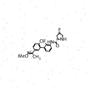 CO/N=C(\C)c1ccc(Cl)c(-c2cccc(NC(=O)[C@@H]3C[C@@H](F)CN3)c2F)c1